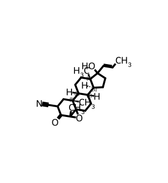 CC=CC1(O)CC[C@H]2[C@@H]3CCC45OC4(C)C(=O)C(C#N)C[C@]5(C)[C@@H]3CC[C@@]21C